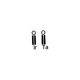 [O]=[Ir].[O]=[Ta]